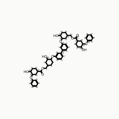 O=C(OCC1CCC(Oc2cccc(-c3cccc(OC4CC(COC(=O)C5CCC(O)C(Oc6ccccc6)C5)CCC4O)c3)c2)C(O)C1)C1CCC(O)C(Oc2ccccc2)C1